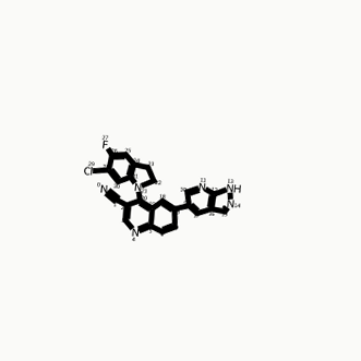 N#Cc1cnc2ccc(-c3cnc4[nH]ncc4c3)cc2c1N1CCc2cc(F)c(Cl)cc21